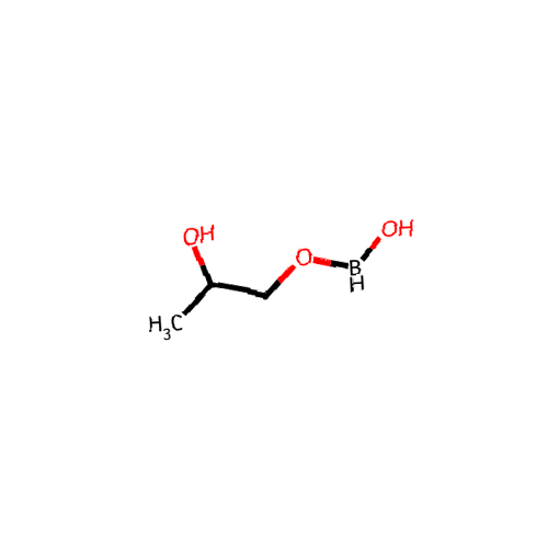 CC(O)COBO